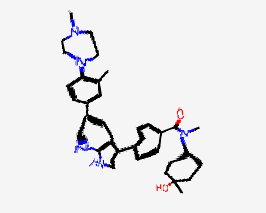 Cc1cc(-c2cnc3[nH]cc(-c4ccc(C(=O)N(C)C5CCC(C)(O)CC5)cc4)c3c2)ccc1N1CCN(C)CC1